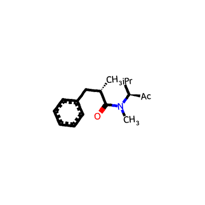 CC(=O)[C@H](C(C)C)N(C)C(=O)[C@@H](C)Cc1ccccc1